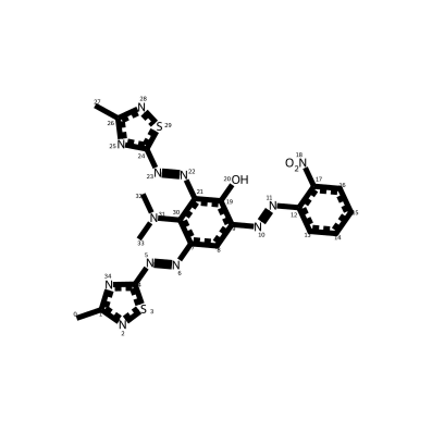 Cc1nsc(/N=N/c2cc(/N=N/c3ccccc3[N+](=O)[O-])c(O)c(/N=N/c3nc(C)ns3)c2N(C)C)n1